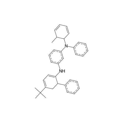 CC1C=CC=CC1N(c1ccccc1)c1cccc(NC2=CC=C(C(C)(C)C)CC2c2ccccc2)c1